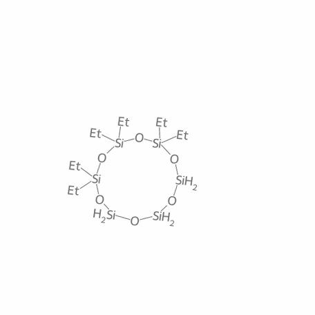 CC[Si]1(CC)O[SiH2]O[SiH2]O[SiH2]O[Si](CC)(CC)O[Si](CC)(CC)O1